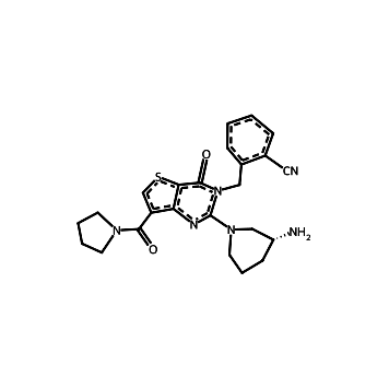 N#Cc1ccccc1Cn1c(N2CCC[C@@H](N)C2)nc2c(C(=O)N3CCCC3)csc2c1=O